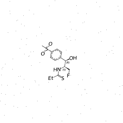 CCC(=S)N[C@H](CF)[C@H](O)c1ccc(S(C)(=O)=O)cc1